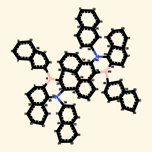 c1ccc2cc(B3c4ccc5ccccc5c4N(c4ccc5ccccc5c4)c4c3c3cccc5c6c(c7cccc4c7c35)B(c3ccc4ccccc4c3)c3ccc4ccccc4c3N6c3ccc4ccccc4c3)ccc2c1